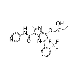 CC[C@@H](O)COc1cc(-c2ccccc2C(F)(F)F)nn2c(C(=O)Nc3ccncc3)c(C)nc12